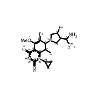 COC1=C(F)C(N2CC(F)C(C(N)C(F)(F)F)C2)C(C)c2c1c(=O)[nH]c(=O)n2C1CC1